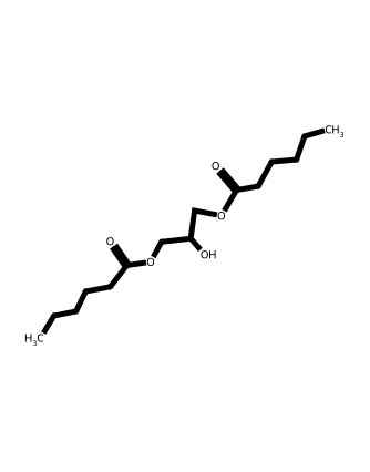 CCCCCC(=O)OCC(O)COC(=O)CCCCC